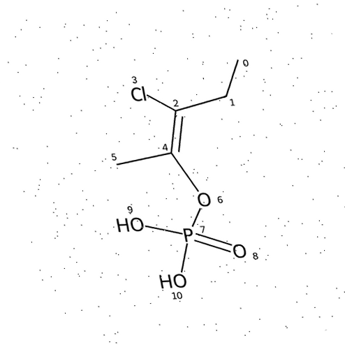 CCC(Cl)=C(C)OP(=O)(O)O